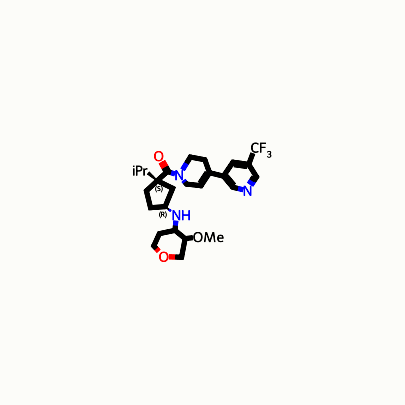 COC1COCCC1N[C@@H]1CC[C@@](C(=O)N2CC=C(c3cncc(C(F)(F)F)c3)CC2)(C(C)C)C1